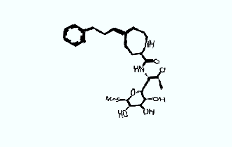 CSC1O[C@H]([C@H](NC(=O)C2CC/C(=C\CCc3ccccc3)CCN2)[C@H](C)Cl)[C@@H](O)C(O)[C@H]1O